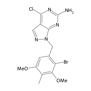 COc1cc(Cn2ncc3c(Cl)nc(N)nc32)c(Br)c(OC)c1C